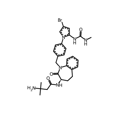 CNC(=O)Nc1cc(Br)cn1-c1ccc(CN2C(=O)[C@H](NC(=O)CC(C)(C)N)CCc3ccccc32)cc1